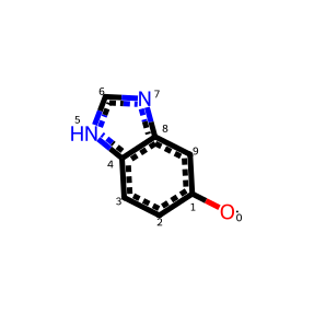 [O]c1ccc2[nH]cnc2c1